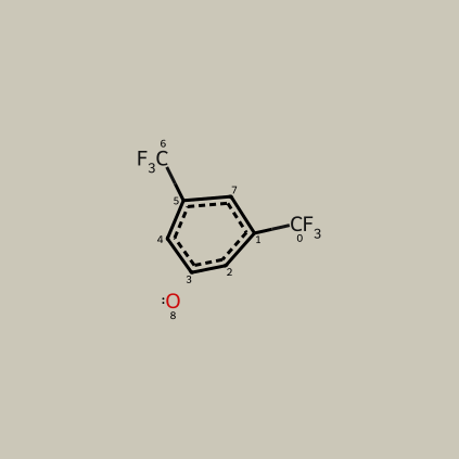 FC(F)(F)c1cccc(C(F)(F)F)c1.[O]